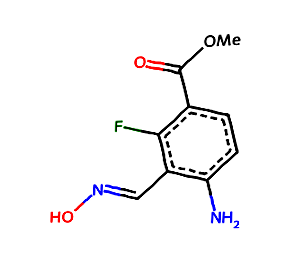 COC(=O)c1ccc(N)c(C=NO)c1F